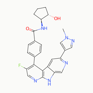 Cn1cc(-c2cc3c(cn2)[nH]c2ncc(F)c(-c4ccc(C(=O)N[C@H]5CCC[C@@H]5O)cc4)c23)cn1